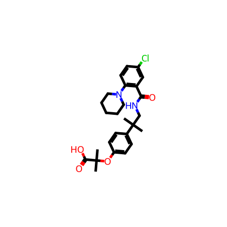 CC(C)(Oc1ccc(C(C)(C)CNC(=O)c2cc(Cl)ccc2N2CCCCC2)cc1)C(=O)O